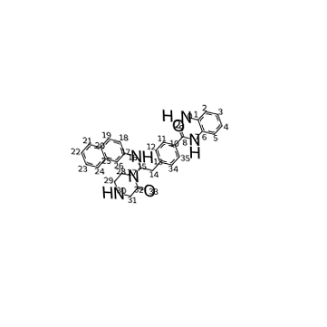 Nc1ccccc1NC(=O)c1ccc(CC(Nc2ccc3ccccc3c2)N2CCNCC2=O)cc1